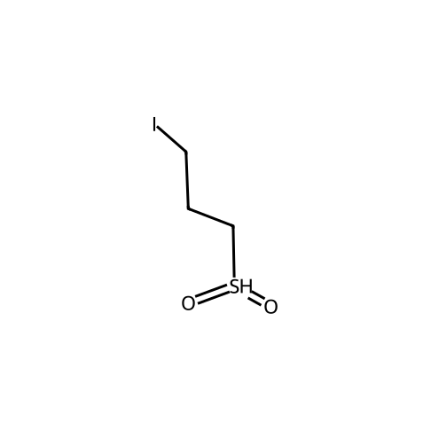 O=[SH](=O)CCCI